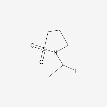 CC(I)N1CCCS1(=O)=O